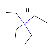 CC[N+](CC)(CC)CC.[H-]